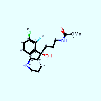 COC(=O)NCCC[C@@](O)(c1cccc(Cl)c1F)[C@@H]1CCCNC1